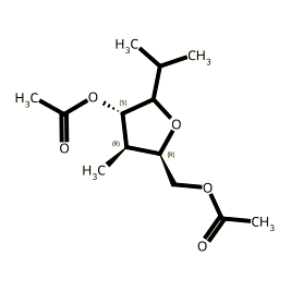 CC(=O)OC[C@@H]1OC(C(C)C)[C@@H](OC(C)=O)[C@@H]1C